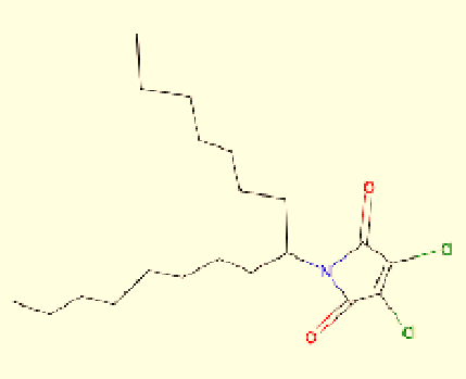 CCCCCCCCC(CCCCCCC)N1C(=O)C(Cl)=C(Cl)C1=O